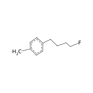 [CH2]c1ccc(CCCCF)cc1